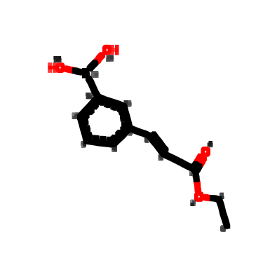 CCOC(=O)C=Cc1cccc(B(O)O)c1